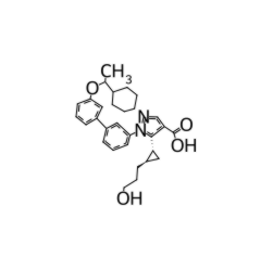 CC(Oc1cccc(-c2cccc(-n3ncc(C(=O)O)c3[C@@H]3C[C@H]3CCCO)c2)c1)C1CCCCC1